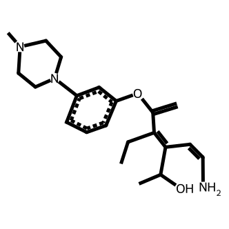 C=C(Oc1cccc(N2CCN(C)CC2)c1)/C(CC)=C(\C=C/N)C(C)O